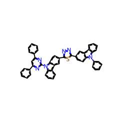 c1ccc(-c2cc(-c3ccccc3)nc(-n3c4ccccc4c4cc(-c5nnc(-c6ccc7c(c6)c6ccccc6n7-c6ccccc6)s5)ccc43)n2)cc1